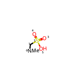 [CH2]NCS(=O)(=O)O